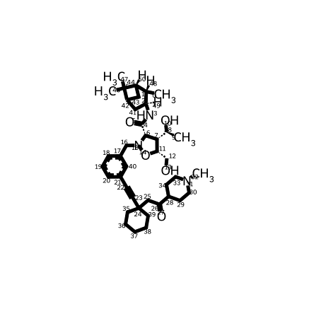 C[C@@H]1[C@@H](NC(=O)[C@@H]2[C@H]([C@H](C)O)[C@H](CO)ON2Cc2cccc(C#CC3(CC(=O)C4CCN(C)CC4)CCCCC3)c2)CC2C[C@@H]1C2(C)C